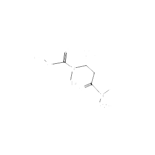 CON(C)C(=O)C[C@@H](C(=O)O)N(C(=O)OC(C)(C)C)C(C)(C)C